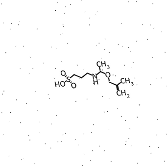 C=C(C)COC(C)NCCCS(=O)(=O)O